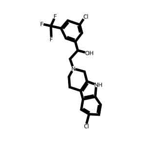 OC(CN1CCc2c([nH]c3ccc(Cl)cc23)C1)c1cc(Cl)cc(C(F)(F)F)c1